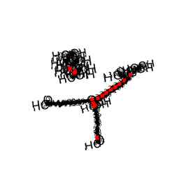 O=C(O)CCCCCCCCCCCCCCCCCOC(CCCCCCCCCCCCCCCCCC(=O)O)(CCCCCCCCCCCCCCCCCC(=O)O)[C@@](O)(CCCCCCCCCCCCCCCCCC(=O)O)[C@H](O)CO.OC[C@@H](O)[C@@H](O)CO.OC[C@@H](O)[C@@H](O)CO.OC[C@@H](O)[C@@H](O)CO.OC[C@@H](O)[C@@H](O)CO